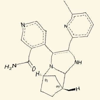 Cc1cccc(C2=C(c3ccncc3C(N)=O)N3C(N2)[C@@H]2CC[C@@H]3C2)n1